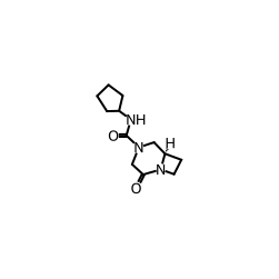 O=C(NC1CCCC1)N1CC(=O)N2CC[C@@H]2C1